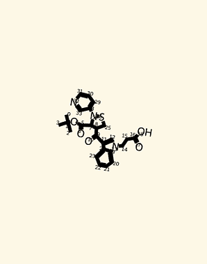 CC(C)(C)OC(=O)C1C(C(=O)c2cn(CCC(=O)O)c3ccccc23)CSN1c1cccnc1